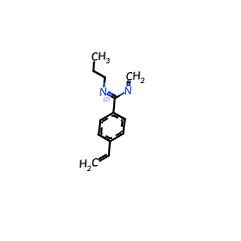 C=Cc1ccc(/C(N=C)=N/CCC)cc1